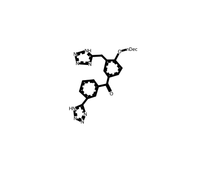 CCCCCCCCCCOc1ccc(C(=O)c2cccc(-c3nnn[nH]3)c2)cc1Cc1nnn[nH]1